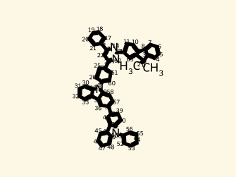 CC1(C)c2ccccc2-c2ccc(-c3nc(-c4ccccc4)cc(-c4ccc(-n5c6ccccc6c6cc(-c7ccc8c(c7)c7ccccc7n8-c7ccccc7)ccc65)cc4)n3)cc21